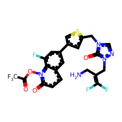 NCC(Cn1ncn(Cc2cc(-c3cc(F)c4c(ccc(=O)n4OC(=O)C(F)(F)F)c3)cs2)c1=O)=C(F)F